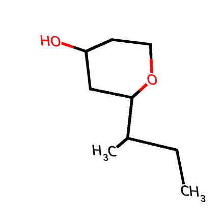 CCC(C)C1CC(O)CCO1